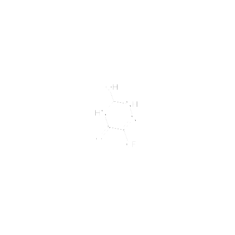 O=C1NC(O)NN=C1C(F)(F)F